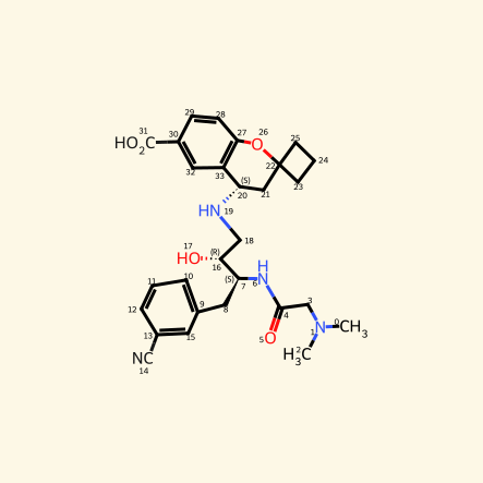 CN(C)CC(=O)N[C@@H](Cc1cccc(C#N)c1)[C@H](O)CN[C@H]1CC2(CCC2)Oc2ccc(C(=O)O)cc21